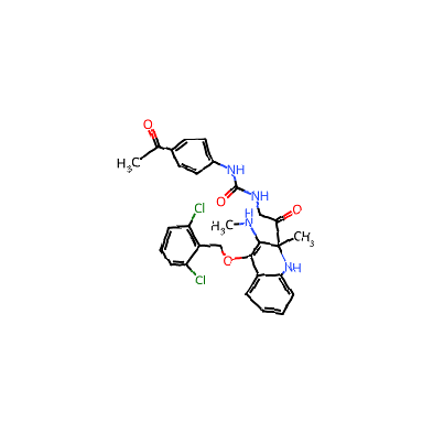 CNC1=C(OCc2c(Cl)cccc2Cl)c2ccccc2NC1(C)C(=O)CNC(=O)Nc1ccc(C(C)=O)cc1